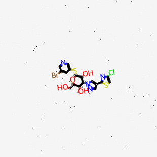 OC[C@H]1O[C@H](Sc2cncc(Br)c2)[C@H](O)[C@@H](n2cc(-c3nc(Cl)cs3)cn2)[C@H]1O